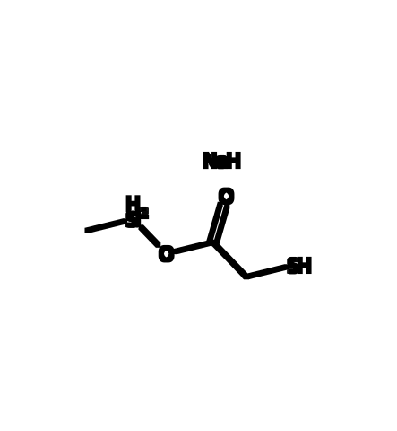 C[SiH2]OC(=O)CS.[NaH]